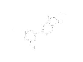 CCOc1nc2cc(-c3cc(C)nc(C)c3)ccc2[nH]1